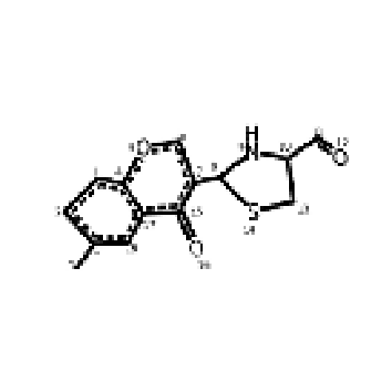 Cc1ccc2occ(C3NC(C=O)CS3)c(=O)c2c1